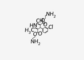 CC1=C(C(=O)OCCN)C(c2cccc(Cl)c2)C(C(=O)OCCN)=C(C)N1